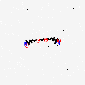 Cc1nocc1C(C)(C)CCCOCCCOCCCC(C)(C)c1conc1C